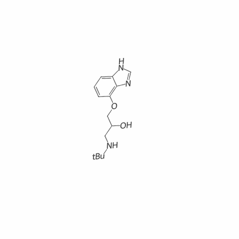 CC(C)(C)NCC(O)COc1cccc2[nH]cnc12